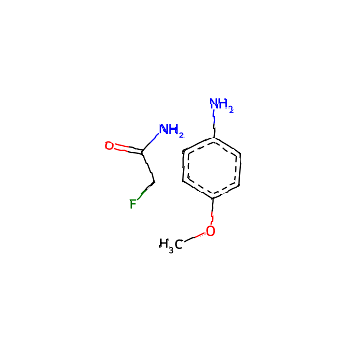 COc1ccc(N)cc1.NC(=O)CF